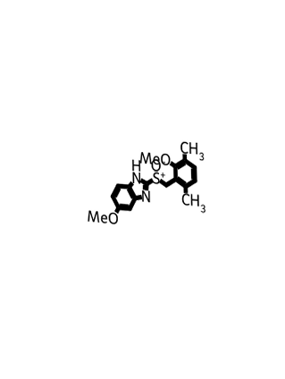 COc1ccc2[nH]c([S+]([O-])Cc3c(C)ccc(C)c3OC)nc2c1